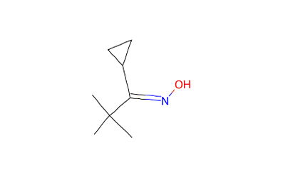 CC(C)(C)/C(=N/O)C1CC1